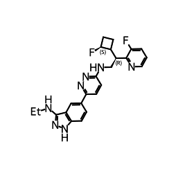 CCNc1n[nH]c2ccc(-c3ccc(NC[C@H](c4ncccc4F)C4CC[C@@H]4F)nn3)cc12